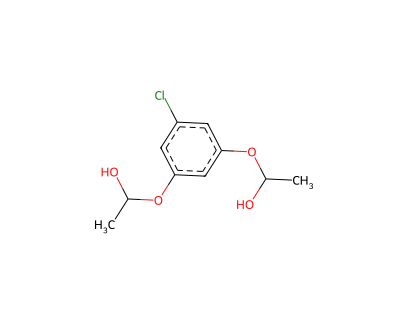 CC(O)Oc1cc(Cl)cc(OC(C)O)c1